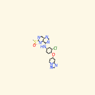 C[S+]([O-])c1ncc2ncnc(Nc3ccc(Oc4ccn5ncnc5c4)c(Cl)c3)c2n1